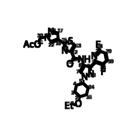 CCO[C@H]1CC[C@H](n2cc(NC(=O)c3csc(-c4cnn(COC(C)=O)c4)n3)c(-c3nc(F)ccc3F)n2)CC1